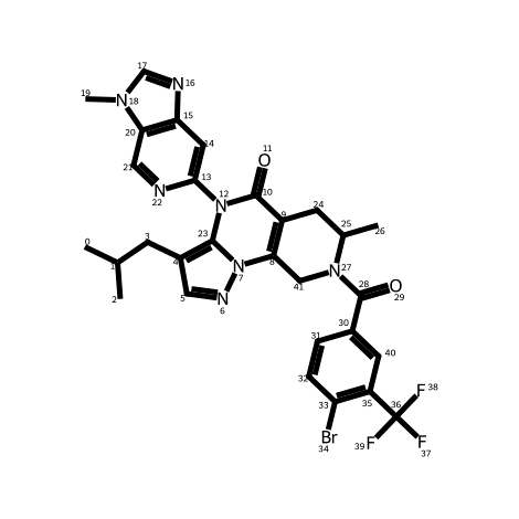 CC(C)Cc1cnn2c3c(c(=O)n(-c4cc5ncn(C)c5cn4)c12)CC(C)N(C(=O)c1ccc(Br)c(C(F)(F)F)c1)C3